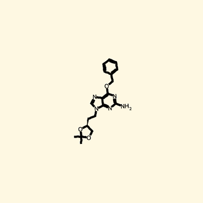 CC1(C)OC[C@H](CCn2cnc3c(OCc4ccccc4)nc(N)nc32)O1